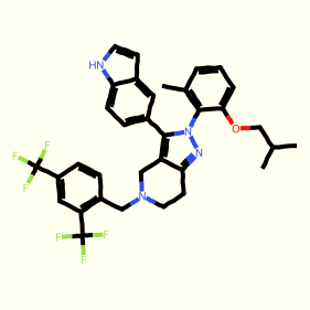 Cc1cccc(OCC(C)C)c1-n1nc2c(c1-c1ccc3[nH]ccc3c1)CN(Cc1ccc(C(F)(F)F)cc1C(F)(F)F)CC2